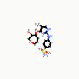 NS(=O)(=O)c1ccc(Nc2ncc(C(F)(F)F)c(OC3CCCOCC3O)n2)cc1